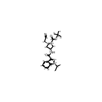 CC(C)n1nc(C(=O)N[C@H]2C[C@@H](CC#N)N(C(=O)OC(C)(C)C)C2)c2ccccc21